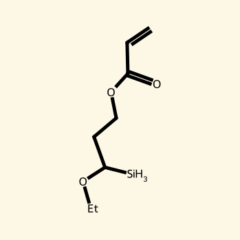 C=CC(=O)OCCC([SiH3])OCC